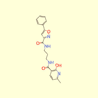 Cc1ccc(C(=O)NCCCNC(=O)c2cc(-c3ccccc3)on2)c(O)n1